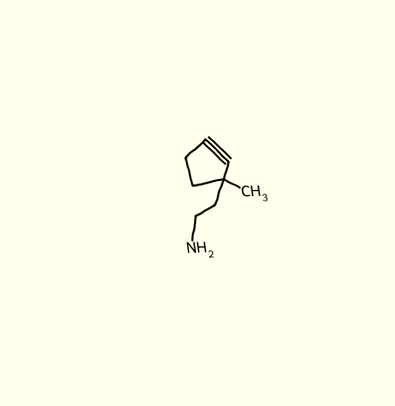 CC1(CCN)C#CCC1